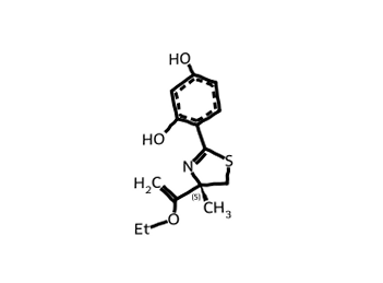 C=C(OCC)[C@@]1(C)CSC(c2ccc(O)cc2O)=N1